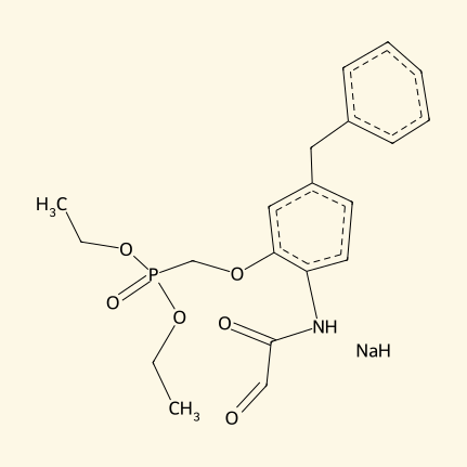 CCOP(=O)(COc1cc(Cc2ccccc2)ccc1NC(=O)C=O)OCC.[NaH]